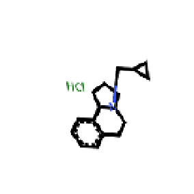 Cl.c1ccc2c(c1)CCC13CCCC21CCN(CC1CC1)C3